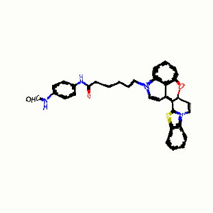 O=CNc1ccc(NC(=O)CCCCCN2C=CC3=C4c5sc6ccccc6[n+]5CCC4Oc4cccc2c43)cc1